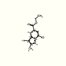 CCOC(=O)c1cc(Cl)n2nc(C)c(I)c2n1